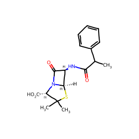 CC(C(=O)N[C@@H]1C(=O)N2[C@@H]1SC(C)(C)[C@@H]2C(=O)O)c1ccccc1